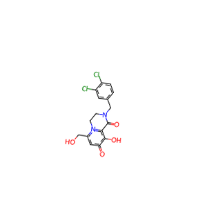 O=C1c2c(O)c(=O)cc(CO)n2CCN1Cc1ccc(Cl)c(Cl)c1